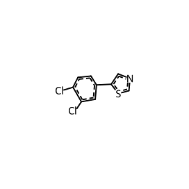 Clc1ccc(-c2cncs2)cc1Cl